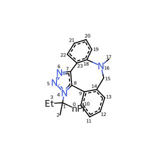 CCCC(C)(CC)n1nnc2c1-c1ccccc1CN(C)c1ccccc1-2